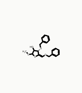 COC1O/C(=C/OCc2ccccc2)[C@@H](OCc2ccccc2)C1O